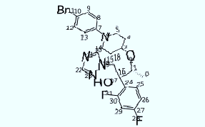 C[C@@H](OC1CCN(c2ccc(Br)cc2)CC1)[C@](O)(Cn1cncn1)c1ccc(F)cc1F